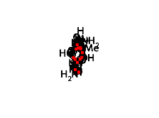 CO[C@H]1[C@H]2OP(=O)(O)OCC34CC[C@@H]3[C@@H](n3cnc5c(N)ncnc53)[C@@H](F)[C@@H]4OP(=O)(O)OC[C@H]1O[C@H]2n1cnc2c(=O)[nH]c(N)nc21